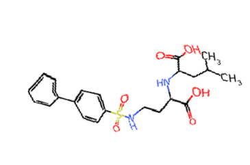 CC(C)CC(NC(CCNS(=O)(=O)c1ccc(-c2ccccc2)cc1)C(=O)O)C(=O)O